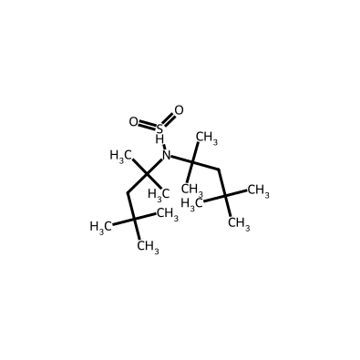 CC(C)(C)CC(C)(C)N([SH](=O)=O)C(C)(C)CC(C)(C)C